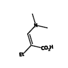 CCC(=CN(C)C)C(=O)O